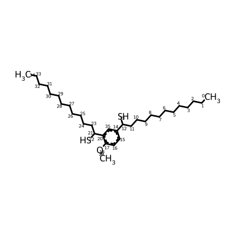 CCCCCCCCCCCCC(S)c1ccc(OC)c(C(S)CCCCCCCCCCCC)c1